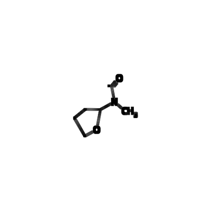 CN([C]=O)C1CCCO1